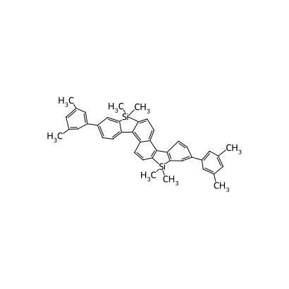 Cc1cc(C)cc(-c2ccc3c(c2)[Si](C)(C)c2ccc4c5c(ccc4c2-3)[Si](C)(C)c2cc(-c3cc(C)cc(C)c3)ccc2-5)c1